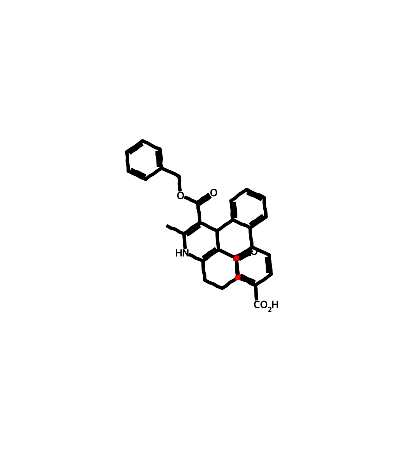 CC1=C(C(=O)OCc2ccccc2)C(c2ccccc2-c2ccc(C(=O)O)cc2)C2=C(CCCC2=O)N1